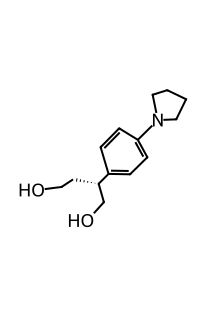 OCC[C@@H](CO)c1ccc(N2CCCC2)cc1